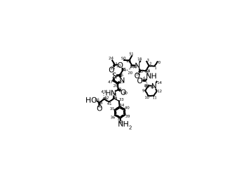 CCC(C)[C@H](NC(=O)[C@H]1CCCCN1C)C(=O)N(C)[C@H](C[C@@H](OC(C)=O)c1nc(C(=O)N[C@@H](Cc2ccc(N)cc2)C[C@@H](C)C(=O)O)cs1)C(C)C